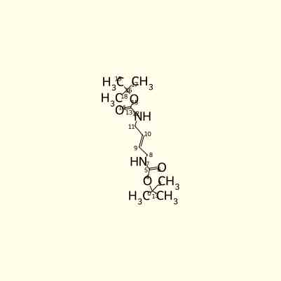 CC(C)(C)OC(=O)NC/C=C/CNC(=O)OC(C)(C)C